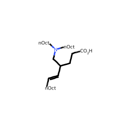 CCCCCCCC/C=C/C(CCC(=O)O)CN(CCCCCCCC)CCCCCCCC